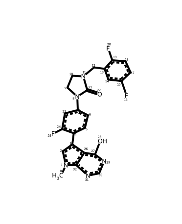 Cn1cc(-c2ccc(N3CCN(Cc4cc(F)ccc4F)C3=O)cc2F)c2c(O)ncnc21